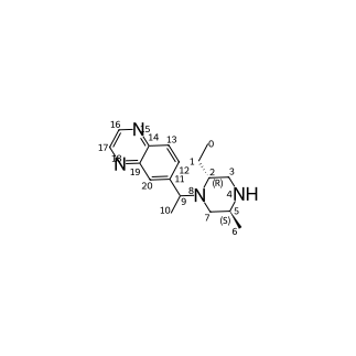 CC[C@@H]1CN[C@@H](C)CN1C(C)c1ccc2nccnc2c1